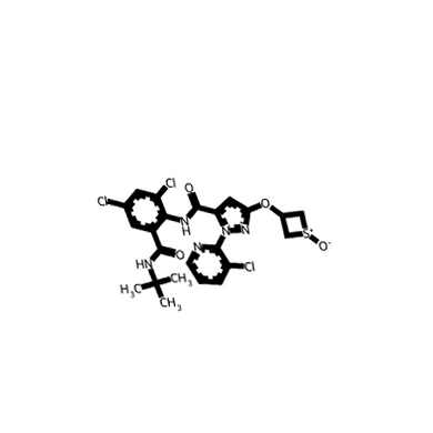 CC(C)(C)NC(=O)c1cc(Cl)cc(Cl)c1NC(=O)c1cc(OC2C[S+]([O-])C2)nn1-c1ncccc1Cl